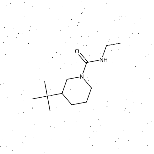 CCNC(=O)N1CCCC(C(C)(C)C)C1